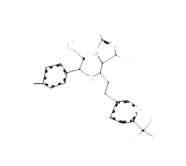 C=C(NC)C(NC(CCc1ccc(C(F)(F)F)nc1)C1SC(C)=NC1C)c1ccc(F)cc1